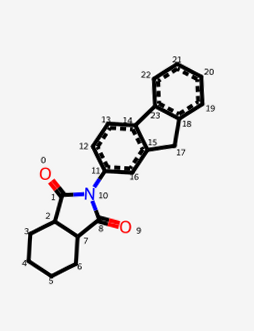 O=C1C2CCCCC2C(=O)N1c1ccc2c(c1)Cc1ccccc1-2